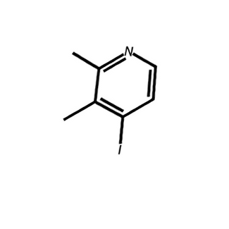 Cc1nccc(I)c1C